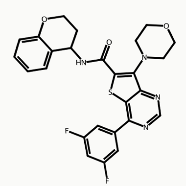 O=C(NC1CCOc2ccccc21)c1sc2c(-c3cc(F)cc(F)c3)ncnc2c1N1CCOCC1